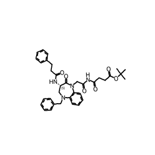 CC(C)(C)OC(=O)CCC(=O)NC(=O)CN1C(=O)[C@@H](NC(=O)CCc2ccccc2)CN(Cc2ccccc2)c2ccccc21